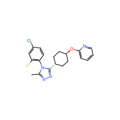 Cc1nnc([C@H]2CC[C@H](Oc3ccccn3)CC2)n1-c1ccc(Cl)cc1F